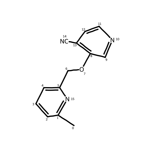 Cc1cccc(COc2cnccc2C#N)n1